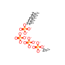 O=P([O-])([O-])[O-].O=P([O-])([O-])[O-].O=P([O-])([O-])[O-].O=P([O-])([O-])[O-].[Fe+2].[Fe+2].[Fe+2].[Zn+2].[Zn+2].[Zn+2]